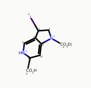 CCOC(=O)N1CC(I)C2=CNC(C(=O)O)C=C21